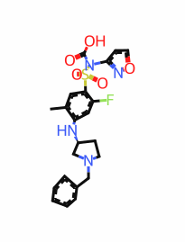 Cc1cc(S(=O)(=O)N(C(=O)O)c2ccon2)c(F)cc1N[C@H]1CCN(Cc2ccccc2)C1